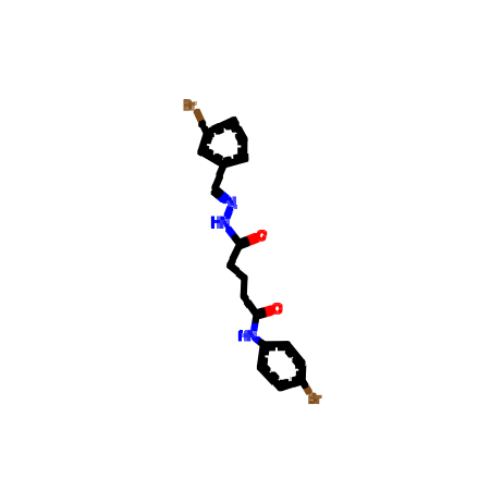 O=C(CCCC(=O)Nc1ccc(Br)cc1)N/N=C/c1cccc(Br)c1